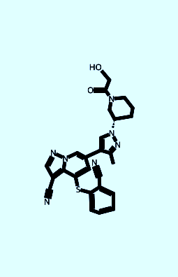 Cc1nn([C@H]2CCCN(C(=O)CO)C2)cc1-c1cc(Sc2ccccc2C#N)c2c(C#N)cnn2c1